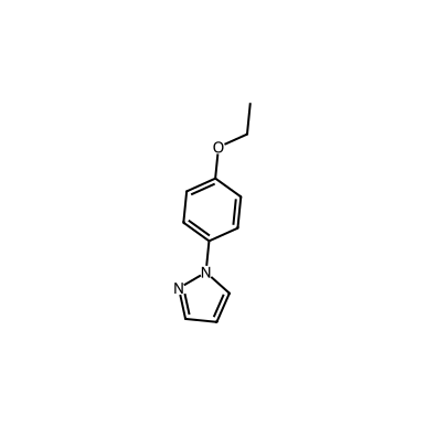 CCOc1ccc(-n2cccn2)cc1